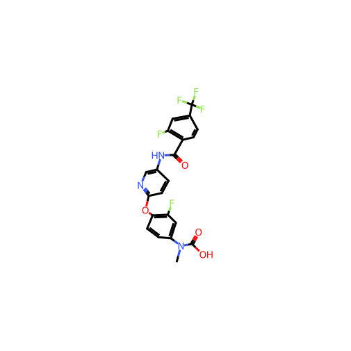 CN(C(=O)O)c1ccc(Oc2ccc(NC(=O)c3ccc(C(F)(F)F)cc3F)cn2)c(F)c1